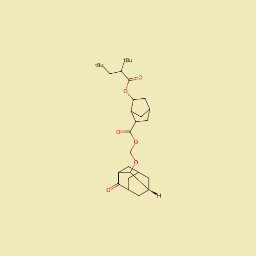 CC(C)(C)CC(C(=O)OC1CC2CC(C(=O)OCOC3C4CC5CC(C[C@H]3C5)C4=O)C1C2)C(C)(C)C